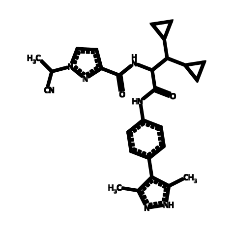 Cc1n[nH]c(C)c1-c1ccc(NC(=O)C(NC(=O)c2ccn(C(C)C#N)n2)C(C2CC2)C2CC2)cc1